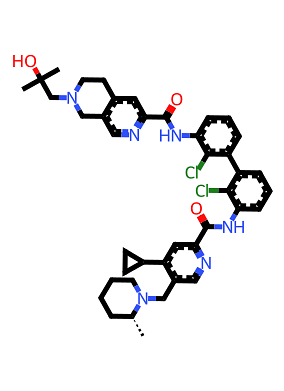 C[C@@H]1CCCCN1Cc1cnc(C(=O)Nc2cccc(-c3cccc(NC(=O)c4cc5c(cn4)CN(CC(C)(C)O)CC5)c3Cl)c2Cl)cc1C1CC1